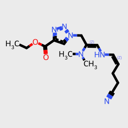 CCOC(=O)c1cn(C/C(=C/N/C=C\CCC#N)N(C)C)nn1